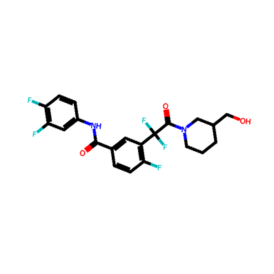 O=C(Nc1ccc(F)c(F)c1)c1ccc(F)c(C(F)(F)C(=O)N2CCCC(CO)C2)c1